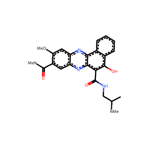 CNC(=O)c1cc2nc3c(C(=O)NCC(C)NC)c(O)c4ccccc4c3nc2cc1OC